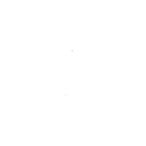 CC(C)CCCC1=CCCC(C#N)C1